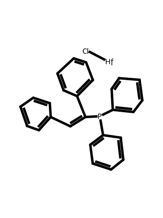 C(=C(c1ccccc1)P(c1ccccc1)c1ccccc1)c1ccccc1.[Cl][Hf]